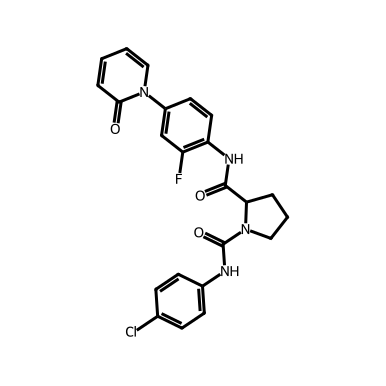 O=C(Nc1ccc(-n2ccccc2=O)cc1F)C1CCCN1C(=O)Nc1ccc(Cl)cc1